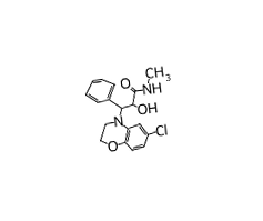 CNC(=O)C(O)C(c1ccccc1)N1CCOc2ccc(Cl)cc21